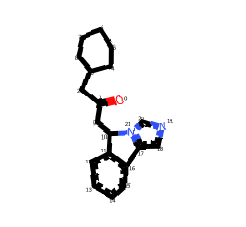 O=C(CC1CCCCC1)CC1c2ccccc2-c2cncn21